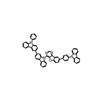 c1ccc(-n2c3ccccc3c3cc(-c4ccc5c6ccccc6n(-c6ncnc7c6oc6ccc(-c8ccc(-n9c%10ccccc%10c%10ccccc%109)cc8)cc67)c5c4)ccc32)cc1